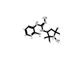 CC1(C)CC(N/C(=N/C#N)Nc2cccnc2Br)C(C)(C)N1O